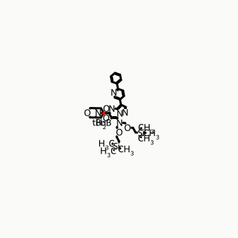 Bc1c(C2CC3COCC(C2)N3C(=O)OC(C)(C)C)nc2c(-c3ccc(-c4ccccc4)nc3)cnn2c1N(COCC[Si](C)(C)C)COCC[Si](C)(C)C